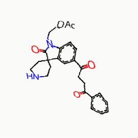 CC(=O)OCN1C(=O)C2(CCNCC2)c2cc(C(=O)CCC(=O)c3ccccc3)ccc21